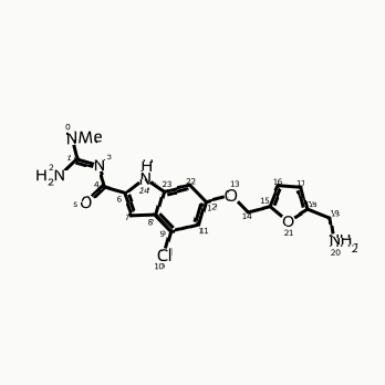 CNC(N)=NC(=O)c1cc2c(Cl)cc(OCc3ccc(CN)o3)cc2[nH]1